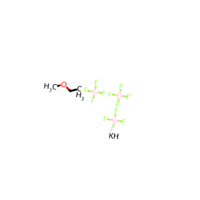 CCOC.F[B-](F)(F)F.F[B-](F)(F)F.F[B-](F)(F)F.[KH]